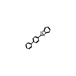 c1ccc(-c2ccc(C3n4c5ccccc5n43)cc2)cc1